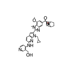 COc1cc(C(=O)N2CC3CCC2[C@@H]3C)cc2nc(-c3cc4ccc(Nc5ccncc5CO)nc4n3CC3CC3)n(C)c12